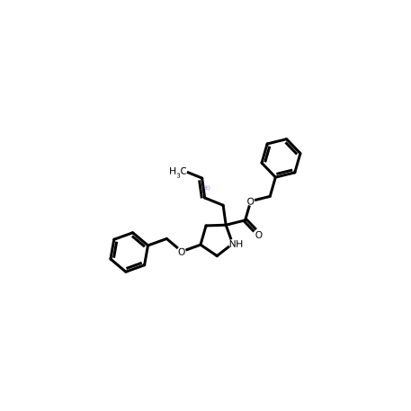 C/C=C/CC1(C(=O)OCc2ccccc2)CC(OCc2ccccc2)CN1